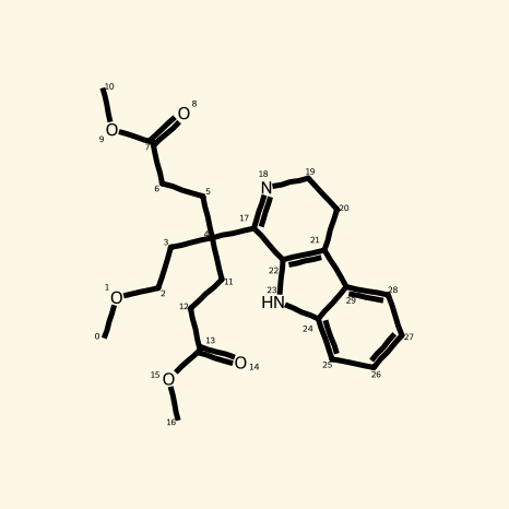 COCCC(CCC(=O)OC)(CCC(=O)OC)C1=NCCc2c1[nH]c1ccccc21